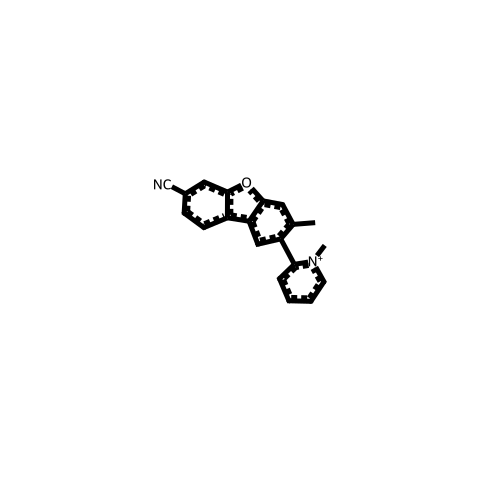 Cc1cc2oc3cc(C#N)ccc3c2cc1-c1cccc[n+]1C